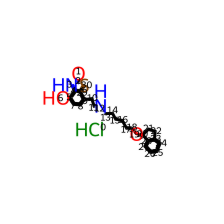 Cl.O=c1[nH]c2c(O)ccc(CCNCCCCCCOC3CCc4ccccc43)c2s1